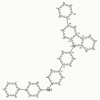 c1ccc(-c2ccc(Nc3ccc(-c4ccc(-n5c6ccccc6c6cc(-c7ccccc7)ccc65)cc4)cc3)cc2)cc1